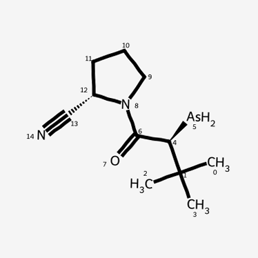 CC(C)(C)[C@H]([AsH2])C(=O)N1CCC[C@H]1C#N